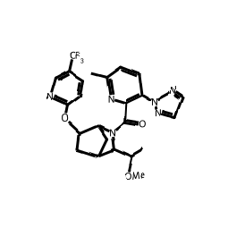 COC(C)C1C2CC(Oc3ccc(C(F)(F)F)cn3)C(C2)N1C(=O)c1nc(C)ccc1-n1nccn1